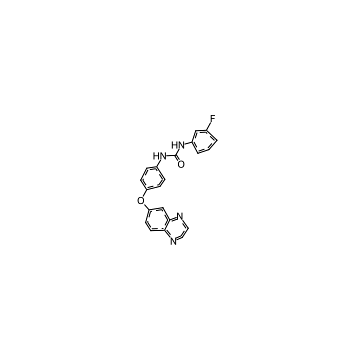 O=C(Nc1ccc(Oc2ccc3nccnc3c2)cc1)Nc1cccc(F)c1